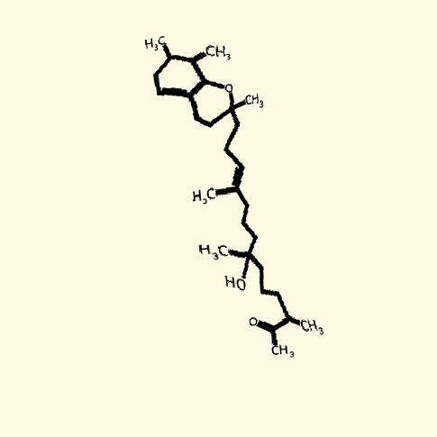 CC(=O)C(C)CCCC(C)(O)CCC/C(C)=C/CCC1(C)CCC2=CCC(C)C(C)C2O1